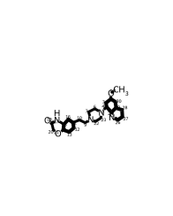 COc1cc(N2CCN(CCc3ccc4c(c3)NC(=O)CO4)CC2)c2ncccc2c1